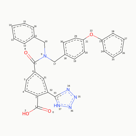 O=C(O)c1ccc(C(=O)N(Cc2ccccc2)Cc2ccc(Oc3ccccc3)cc2)cc1-c1nnn[nH]1